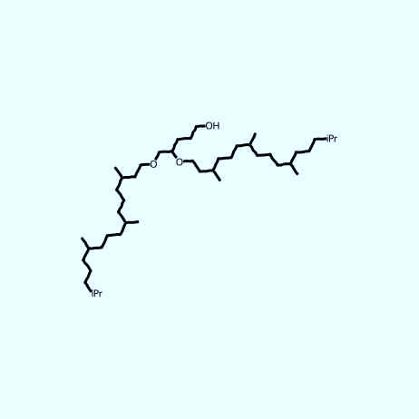 CC(C)CCCC(C)CCCC(C)CCCC(C)CCOCC(CCCO)OCCC(C)CCCC(C)CCCC(C)CCCC(C)C